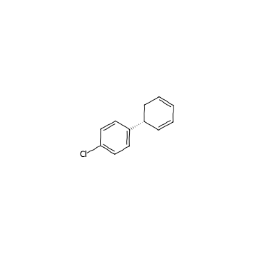 Clc1ccc([C@H]2C=CC=CC2)cc1